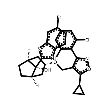 O[C@]1(c2nc3ccc(Br)cc3s2)[C@@H]2CC[C@H]1C[C@H](OCc1c(-c3c(Cl)cccc3Cl)noc1C1CC1)C2